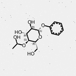 CC(O)O[C@H]1[C@H](O)[C@@H](O)[C@H](Oc2ccccc2)O[C@@H]1CO